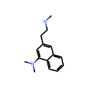 C[N]CCc1cc(N(C)C)c2ccccc2c1